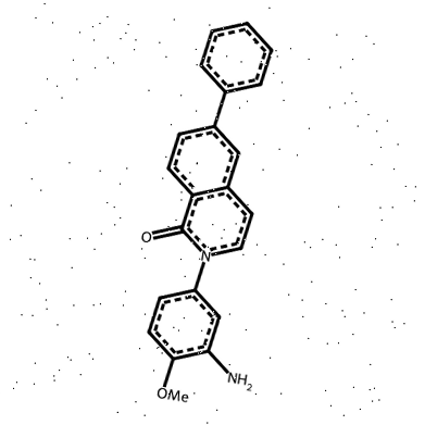 COc1ccc(-n2ccc3cc(-c4ccccc4)ccc3c2=O)cc1N